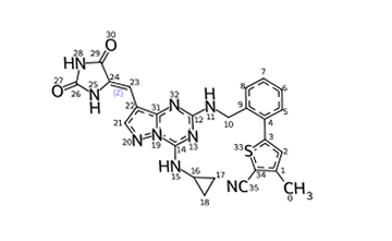 Cc1cc(-c2ccccc2CNc2nc(NC3CC3)n3ncc(/C=C4\NC(=O)NC4=O)c3n2)sc1C#N